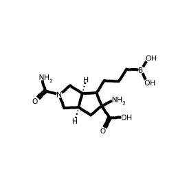 NC(=O)N1C[C@@H]2CC(N)(C(=O)O)C(CCCB(O)O)[C@@H]2C1